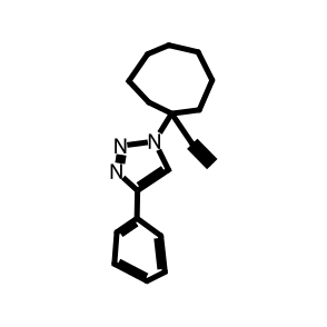 C#CC1(n2cc(-c3ccccc3)nn2)CCCCCCC1